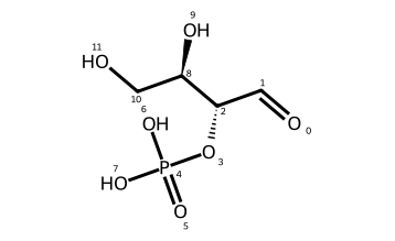 O=C[C@H](OP(=O)(O)O)[C@H](O)CO